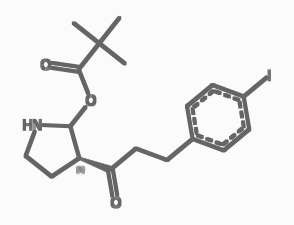 CC(C)(C)C(=O)OC1NCC[C@@H]1C(=O)CCc1ccc(I)cc1